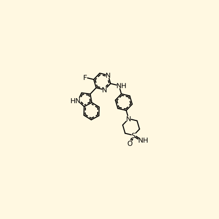 N=S1(=O)CCN(c2ccc(Nc3ncc(F)c(-c4c[nH]c5ccccc45)n3)cc2)CC1